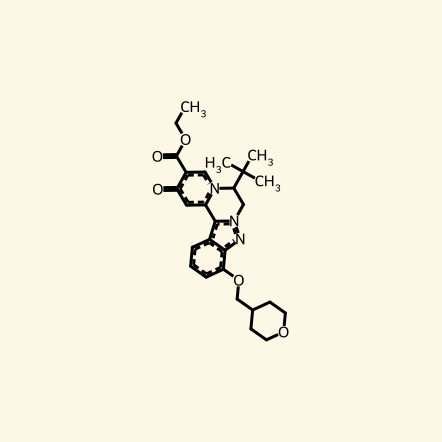 CCOC(=O)c1cn2c(cc1=O)-c1c3cccc(OCC4CCOCC4)c3nn1CC2C(C)(C)C